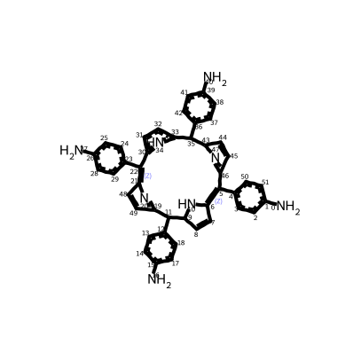 Nc1ccc(/C2=C3\C=CC(N3)C(c3ccc(N)cc3)C3=N/C(=C(/c4ccc(N)cc4)c4ccc([nH]4)C(c4ccc(N)cc4)C4C=CC2=N4)C=C3)cc1